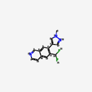 Cn1cc(-c2cc3cnccc3cc2C(F)F)cn1